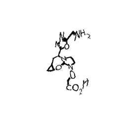 NCc1nnc([C@H](CC2CC2)N2CCN(OCC(=O)O)C2=O)o1